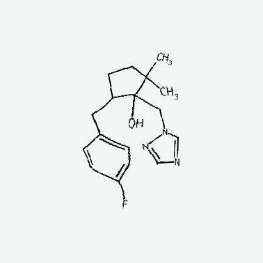 CC1(C)CCC(Cc2ccc(F)cc2)C1(O)Cn1cncn1